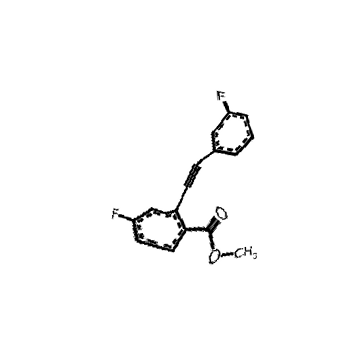 COC(=O)c1ccc(F)cc1C#Cc1cccc(F)c1